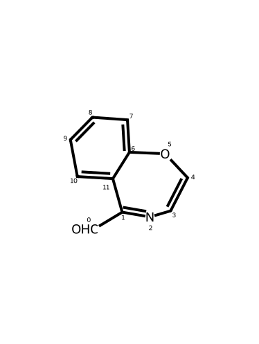 O=CC1=NC=COc2ccccc21